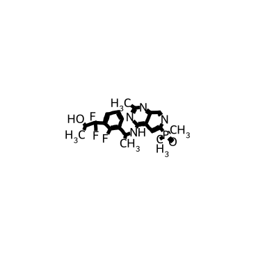 Cc1nc(NC(C)c2cccc(C(F)(F)C(C)O)c2F)c2cc(P(C)(C)=O)ncc2n1